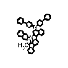 CC1(C)c2ccccc2-c2ccc3c4c5ccccc5c(N(c5ccc(-c6ccccc6)cc5)c5ccc(-c6ccccc6)cc5)cc4n(-c4ccc5ccccc5c4)c3c21